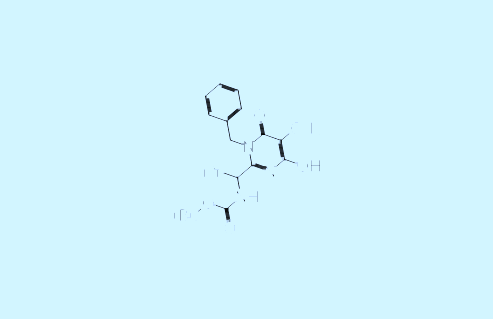 Cc1c(O)nc(C(NC(=O)OC(C)(C)C)C(C)C)n(Cc2ccccc2)c1=O